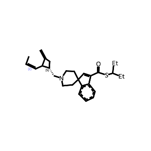 C=C1C[C@H](CN2CCC3(C=C(C(=O)SC(CC)CC)c4ccccc43)CC2)C1/C=C\C